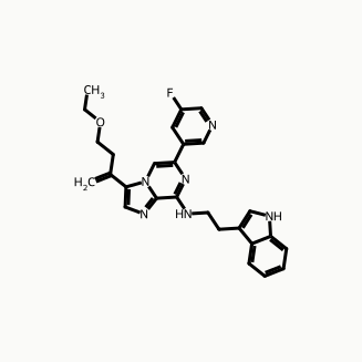 C=C(CCOCC)c1cnc2c(NCCc3c[nH]c4ccccc34)nc(-c3cncc(F)c3)cn12